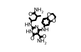 CC(CC(C)C(N)=O)Nc1nc(Nc2ccc3c(c2)OCCO3)c(C(N)=O)c(=O)[nH]1